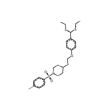 CCSC(SCC)c1ccc(OCCN2CCN(S(=O)(=O)c3ccc(C)cc3)CC2)cc1